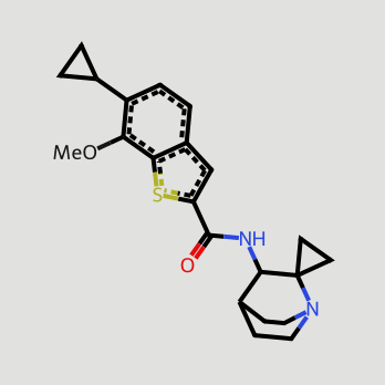 COc1c(C2CC2)ccc2cc(C(=O)NC3C4CCN(CC4)C34CC4)sc12